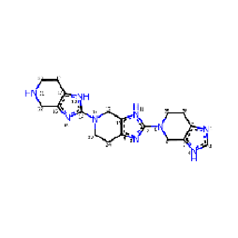 c1nc2c([nH]1)CN(c1nc3c([nH]1)CN(c1nc4c([nH]1)CCNC4)CC3)CC2